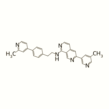 Cc1cncc(-c2cc3ccnc(NCCc4ccc(-c5ccnc(C)c5)cc4)c3cn2)c1